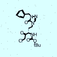 CC(C)(C)OC(=O)N[C@@H](CCn1cnn(Cc2ccccc2)c1=O)C(=O)CCl